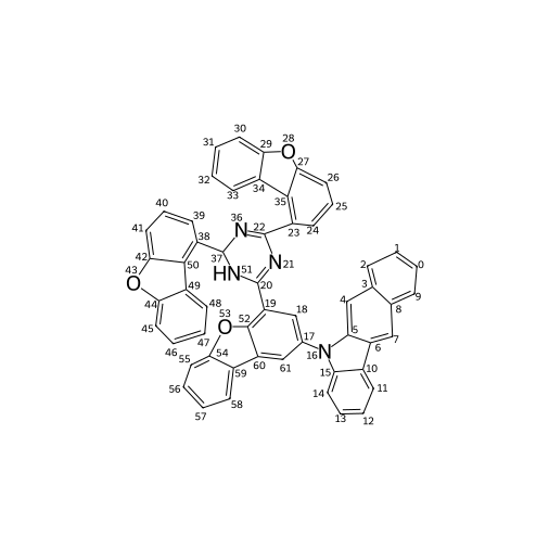 c1ccc2cc3c(cc2c1)c1ccccc1n3-c1cc(C2=NC(c3cccc4oc5ccccc5c34)=NC(c3cccc4oc5ccccc5c34)N2)c2oc3ccccc3c2c1